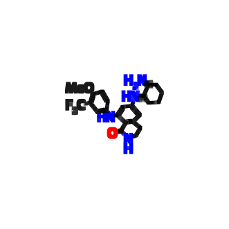 COc1ccc(Nc2cc(N[C@@H]3CCCC[C@@H]3N)cc3c2C(=O)NCC3)cc1C(F)(F)F